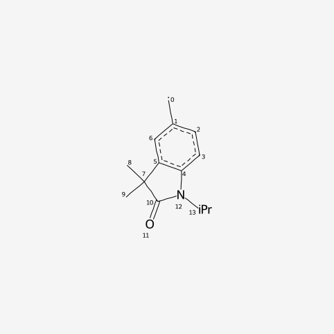 [CH2]c1ccc2c(c1)C(C)(C)C(=O)N2C(C)C